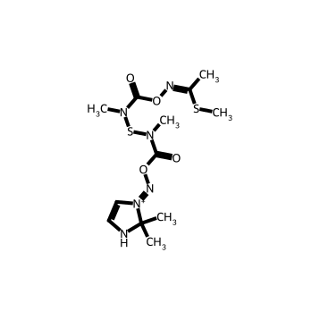 CSC(C)=NOC(=O)N(C)SN(C)C(=O)ON=[N+]1C=CNC1(C)C